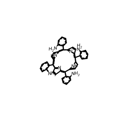 Nc1ccccc1/C1=C2\C=CC(=N2)/C(c2ccccc2N)=c2/cc/c([nH]2)=C(\c2ccccc2N)C2=N/C(=C(/c3ccccc3N)C3CC=C1N3)C=C2